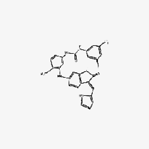 Cc1ccc(NC(=O)Nc2cc(F)cc(C(F)(F)F)c2)cc1Nc1ccc2c(c1)NC(=O)C2=Cc1ccc[nH]1